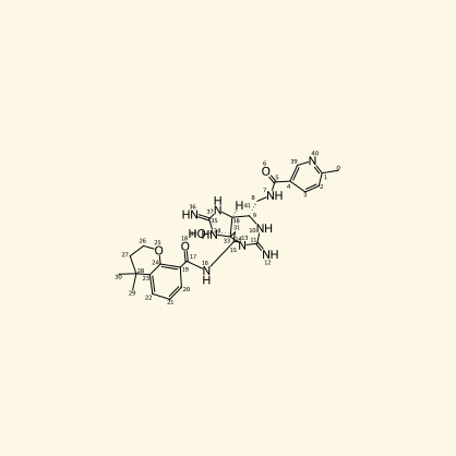 Cc1ccc(C(=O)NC[C@@H]2NC(=N)N3CC(NC(=O)c4cccc5c4OCCC5(C)C)[C@@H](O)C34NC(=N)N[C@@H]24)cn1